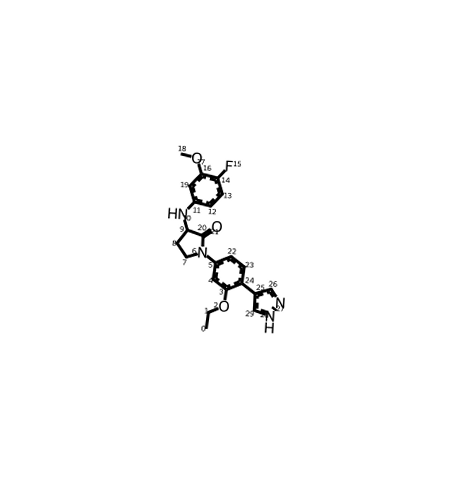 CCOc1cc(N2CCC(Nc3ccc(F)c(OC)c3)C2=O)ccc1-c1cn[nH]c1